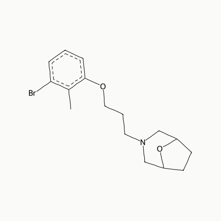 Cc1c(Br)cccc1OCCCN1CC2CCC(C1)O2